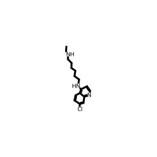 CCNCCCCCCNc1ccnc2cc(Cl)ccc12